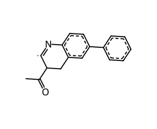 CC(=O)C1[C]=Nc2ccc(-c3ccccc3)cc2C1